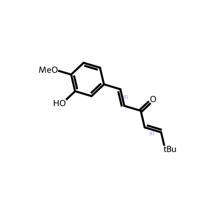 COc1ccc(/C=C/C(=O)/C=C/C(C)(C)C)cc1O